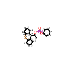 CC(O[PH](=O)Oc1ccccc1)=C1c2ccccc2Sc2ccccc21